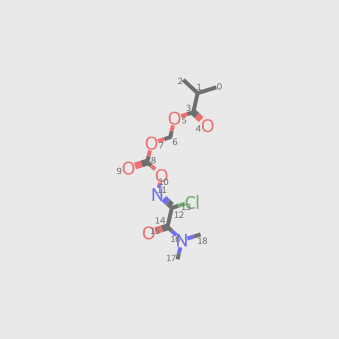 CC(C)C(=O)OCOC(=O)ON=C(Cl)C(=O)N(C)C